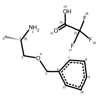 C[C@H](N)COCc1ccccc1.O=C(O)C(F)(F)F